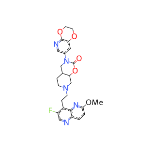 COc1ccc2ncc(F)c(CCN3CCC4CN(c5cnc6c(c5)OCCO6)C(=O)OC4C3)c2n1